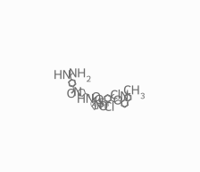 Cc1ccc2cccc(OCc3c(Cl)ccc(S(=O)(=O)N4CCC[C@H]4C(=O)NCC4CCN(C(=O)c5ccc(C(=N)N)cc5)CC4)c3Cl)c2n1